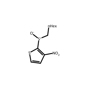 CCCCCCC[S+]([O-])c1sccc1[N+](=O)[O-]